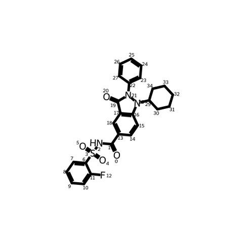 O=C(NS(=O)(=O)c1ccccc1F)c1ccc2c(c1)c(=O)n(-c1ccccc1)n2C1CCCCC1